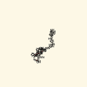 CC[C@]1(O)CC2CCN(CCc3c([nH]c4ccccc34)[C@@](C(=O)OC)(c3cc4c(cc3OC)N(C)[C@H]3[C@@](O)(C(=O)NNC(=O)OCCSSC[C@@H](C)NC(=O)c5ccc(NCc6cnc7nc(N)[nH]c(=O)c7n6)cc5)[C@H](O)[C@]5(CC)C=CCN6CC[C@]43[C@@H]65)C2)C1